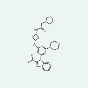 O=C(CC1CCOC1)N[C@H]1C[C@H](Nc2cc(-n3c(C(F)F)nc4ccccc43)nc(N3CCOCC3)n2)C1